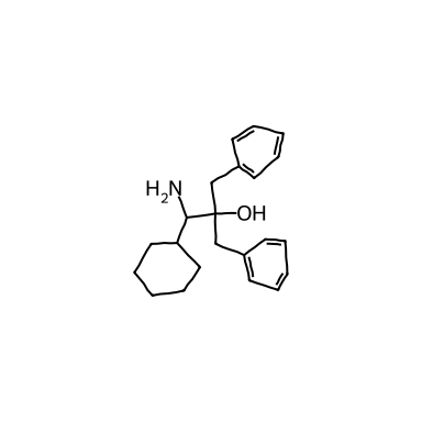 NC(C1CCCCC1)C(O)(Cc1ccccc1)Cc1ccccc1